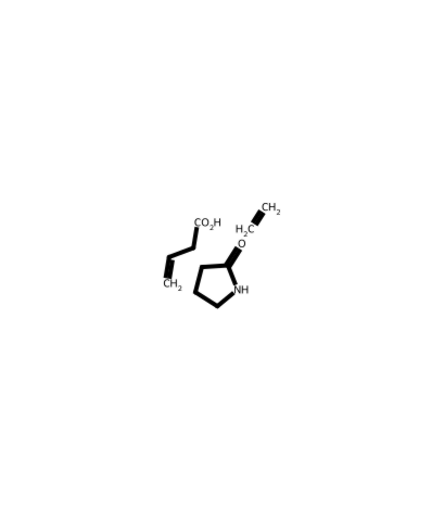 C=C.C=CCC(=O)O.O=C1CCCN1